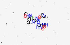 Cc1cccc2cc3c(cnn3C3CCCCO3)c(-c3ncc4c(N5CCCC6(CNS(=O)(=O)N6)C5)nc(OCC56CCCN5CCC6)nc4c3F)c12